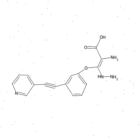 NN/C(Oc1cccc(C#Cc2cccnc2)c1)=C(\N)C(=O)O